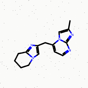 Cc1cn2c(Cc3cn4c(n3)CCCC4)ccnc2n1